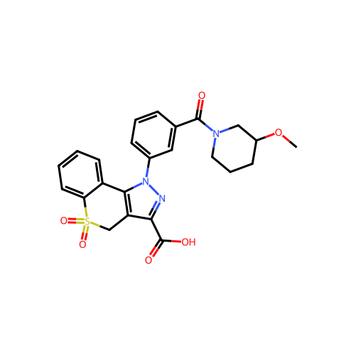 COC1CCCN(C(=O)c2cccc(-n3nc(C(=O)O)c4c3-c3ccccc3S(=O)(=O)C4)c2)C1